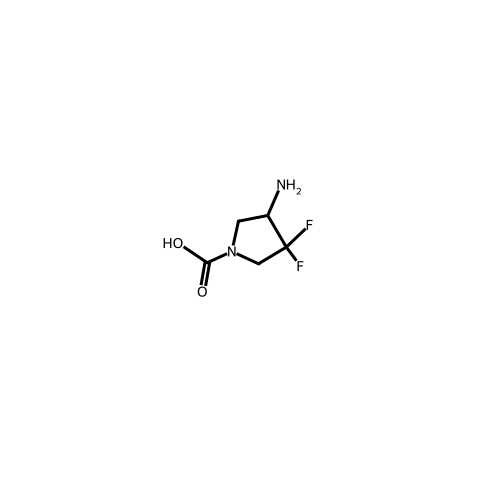 NC1CN(C(=O)O)CC1(F)F